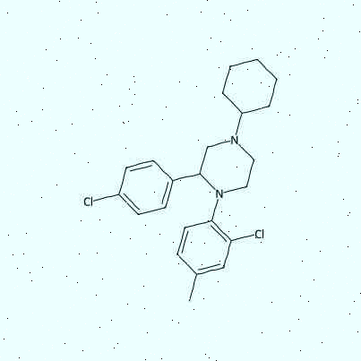 Cc1ccc(N2CCN(C3CCCCC3)CC2c2ccc(Cl)cc2)c(Cl)c1